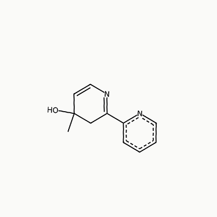 CC1(O)C=CN=C(c2ccccn2)C1